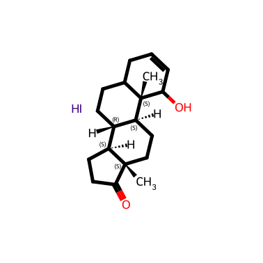 C[C@]12C(O)C=CCC1CC[C@@H]1[C@@H]2CC[C@]2(C)C(=O)CC[C@@H]12.I